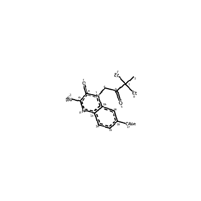 CCC(C)(CC)C(=O)Cn1c(=O)c(C(C)(C)C)nc2ccc(OC)cc21